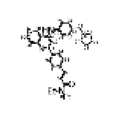 CCN(CC)C(=O)C=Cc1ccc(-c2cc(Nc3ccc(CN4CCCC4)cc3)c3cnccc3n2)cc1